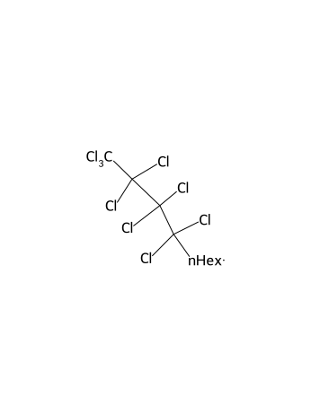 CCCCC[CH]C(Cl)(Cl)C(Cl)(Cl)C(Cl)(Cl)C(Cl)(Cl)Cl